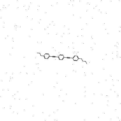 CCCCc1ccc(C#Cc2ccc(C#Cc3ccc(CCC)cc3)cc2)cc1